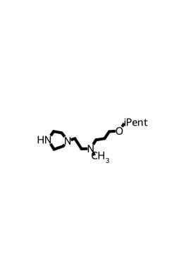 CCCC(C)OCCCN(C)CCN1CCNCC1